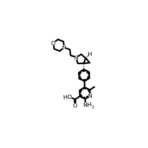 Cc1nc(N)c(C(=O)O)cc1-c1ccc([C@@]23C[C@@H]2CN(CCN2CCOCC2)C3)cc1